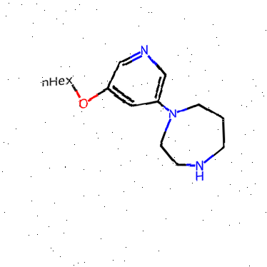 CCCCCCOc1cncc(N2CCCNCC2)c1